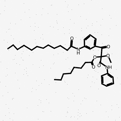 CCCCCCCCCCCC(=O)Nc1cccc(C(=O)C(OC)(OC(=O)CCCCCCC)C(=O)Nc2ccccc2)c1